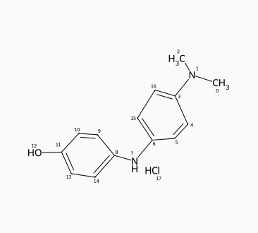 CN(C)c1ccc(Nc2ccc(O)cc2)cc1.Cl